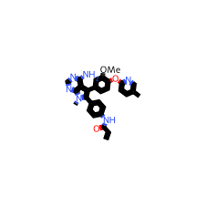 C=CC(=O)Nc1ccc(-c2c(-c3ccc(Oc4ccc(C)cn4)c(OC)c3)c3c(N)ncnc3n2C)cc1